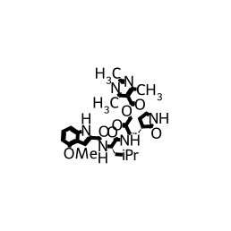 COc1cccc2[nH]c(C(=O)N[C@@H](CC(C)C)C(=O)N[C@@H](C[C@@H]3CCNC3=O)C(=O)COC(=O)c3c(C)nc(C)nc3C)cc12